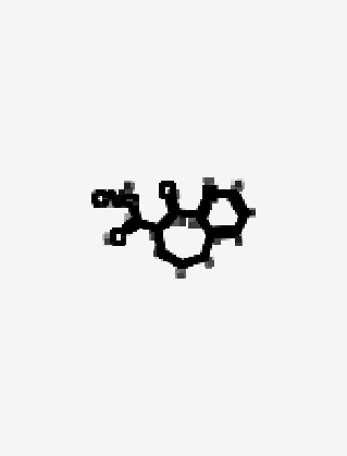 COC(=O)C1CCCc2cccnc2C1=O